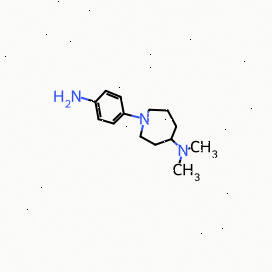 CN(C)C1CCCN(c2ccc(N)cc2)CC1